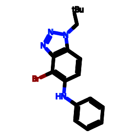 CC(C)(C)Cn1nnc2c(Br)c(Nc3ccccc3)ccc21